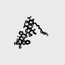 CC[C@H](C)[C@@H]([C@H](CC(=O)N1CCCC1[C@H](OC)[C@@H](C)C(=O)N[C@@H](Cc1ccccc1)C(=O)O)OC)N(C)C(=O)[C@@H](NC(=O)[C@H](C(C)C)N(C)C(=O)CCCCCON)C(C)C